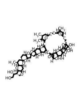 C=C1C[C@@H]2CC[C@]34OC5[C@@H]6O[C@H]7CC[C@H](CC(=O)C[C@@H]8C[C@@H]9O[C@@H]%10C[C@]%11(C[C@@H]%12O[C@@]%13(CC[C@@H]%12O%11)C[C@H](C)[C@@H]%11O[C@@H]%12[C@@H]([C@@H](O)CO)CO[C@@H]%12C[C@@H]%11O%13)O[C@@H]%10C[C@@H]9O[C@H]8C[C@H]8O[C@@H](CC[C@@H]1O2)C[C@@H](C)C8=C)O[C@@H]7[C@H](O3)[C@@H]6O[C@@]5(O)[C@H]4O